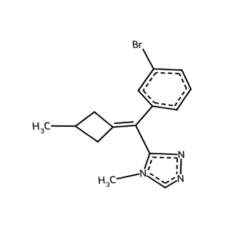 CC1CC(=C(c2cccc(Br)c2)c2nncn2C)C1